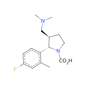 Cc1cc(F)ccc1[C@@H]1[C@@H](CN(C)C)CCN1C(=O)O